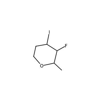 CC1OCCC(I)C1F